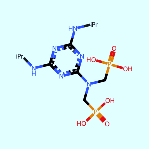 CC(C)Nc1nc(NC(C)C)nc(N(CP(=O)(O)O)CP(=O)(O)O)n1